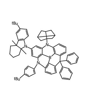 CC(C)(C)c1ccc(N2c3cc(N4c5ccc(C(C)(C)C)cc5C5(C)CCCCC45C)cc4c3B3c5c2cccc5C(c2ccccc2)(c2ccccc2)c2cccc(c23)N4C23CC4CC2CC4C3)cc1